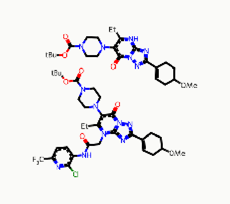 CCc1[nH]c2nc(C3=CCC(OC)CC3)nn2c(=O)c1N1CCN(C(=O)OC(C)(C)C)CC1.CCc1c(N2CCN(C(=O)OC(C)(C)C)CC2)c(=O)n2nc(C3=CCC(OC)CC3)nc2n1CC(=O)Nc1ccc(C(F)(F)F)nc1Cl